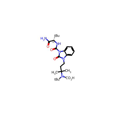 CC(C)(C)[C@H](NC(=O)n1c(=O)n(CCC(C)(C)N(C(=O)O)C(C)(C)C)c2ccccc21)C(N)=O